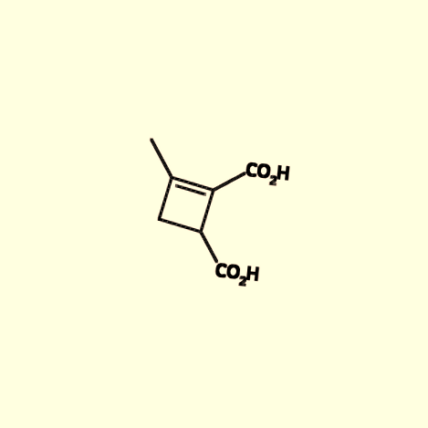 CC1=C(C(=O)O)C(C(=O)O)C1